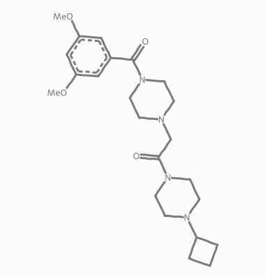 COc1cc(OC)cc(C(=O)N2CCN(CC(=O)N3CCN(C4CCC4)CC3)CC2)c1